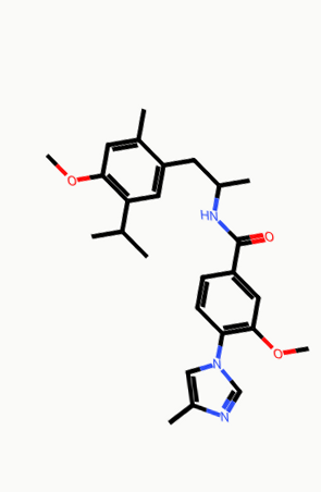 COc1cc(C)c(CC(C)NC(=O)c2ccc(-n3cnc(C)c3)c(OC)c2)cc1C(C)C